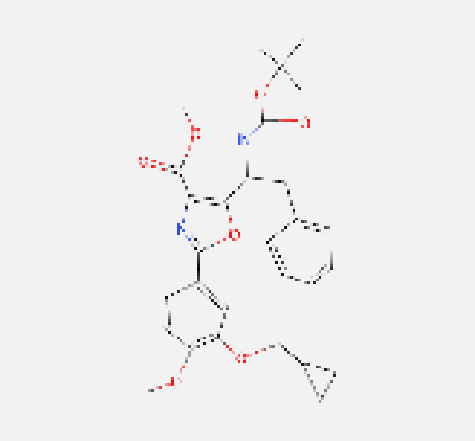 COC(=O)c1nc(-c2ccc(OC)c(OCC3CC3)c2)oc1C(Cc1ccccc1)NC(=O)OC(C)(C)C